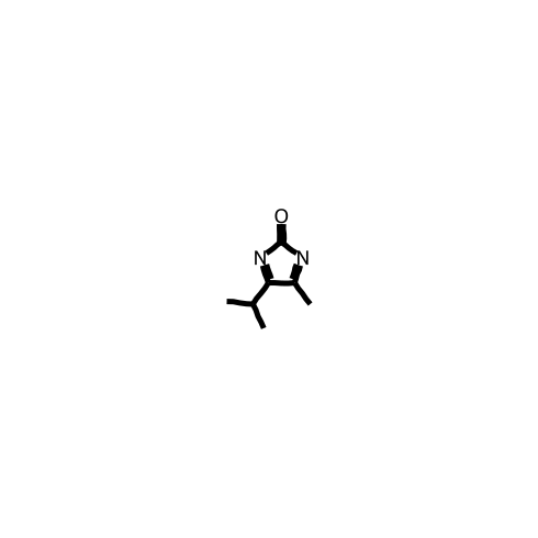 CC1=NC(=O)N=C1C(C)C